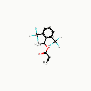 C=CC(=O)OC(C)c1c(C(F)(F)F)cccc1C(F)(F)F